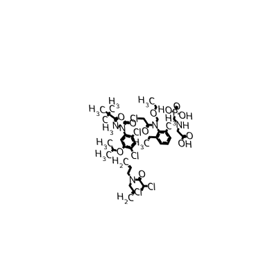 C=CCN(CC=C)C(=O)C(Cl)Cl.CC(C)Oc1cc(-n2nc(C(C)(C)C)oc2=O)c(Cl)cc1Cl.CCOCN(C(=O)CCl)c1c(C)cccc1CC.O=C(O)CNCP(=O)(O)O